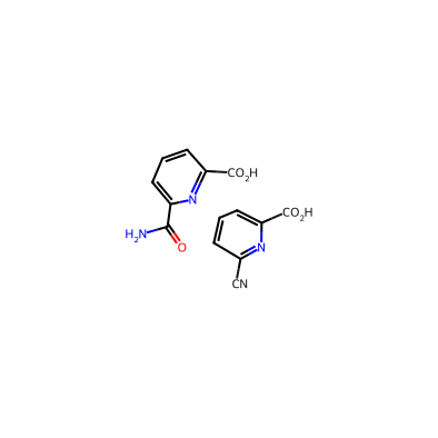 N#Cc1cccc(C(=O)O)n1.NC(=O)c1cccc(C(=O)O)n1